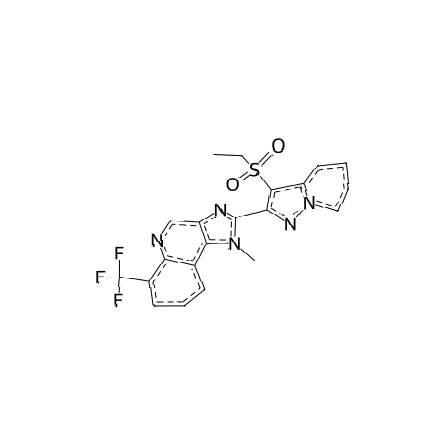 CCS(=O)(=O)c1c(-c2nc3cnc4c(C(F)(F)F)cccc4c3n2C)nn2ccccc12